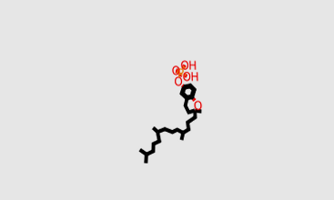 CC(C)CCCC(C)CCCC(C)CCCC1(C)CCc2cc(OP(=O)(O)O)ccc2O1